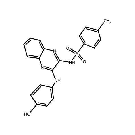 Cc1ccc(S(=O)(=O)Nc2nc3ccccc3nc2Nc2ccc(O)cc2)cc1